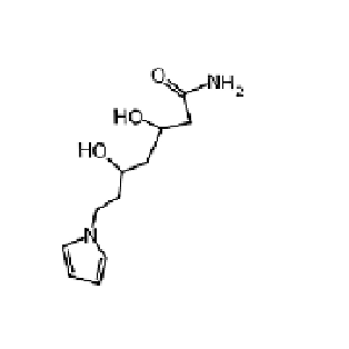 NC(=O)CC(O)CC(O)CCn1cccc1